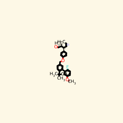 C/C=C\[C@@H](c1ccc(OCc2ccc(C(C)(C)C)c(-c3cc(OC)ccc3F)c2)cc1)[C@H](C)C=O